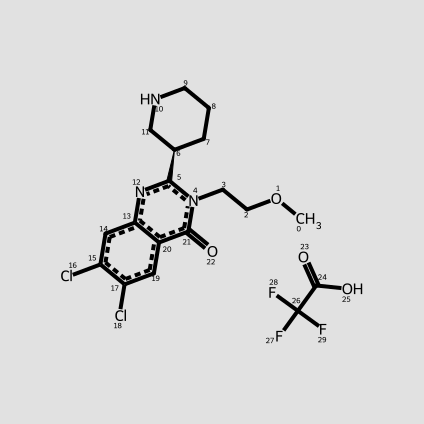 COCCn1c([C@@H]2CCCNC2)nc2cc(Cl)c(Cl)cc2c1=O.O=C(O)C(F)(F)F